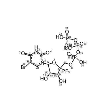 O=c1[nH]c(=O)n(C2O[C@](F)(COP(=O)(O)OP(=O)(O)OP(=O)(O)O)[C@@H](O)[C@H]2O)cc1Br